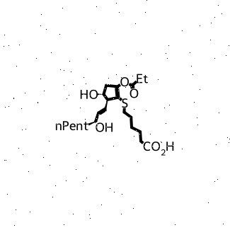 CCCCC[C@H](O)C=C[C@@H]1C(SCCCCCC(=O)O)=C(OC(=O)CC)C[C@H]1O